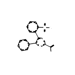 NS(=O)(=O)c1ccccc1-c1oc(C(=O)O)nc1-c1ccccc1